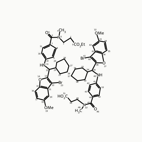 CCOC(=O)CCN(C)C(=O)c1ccc(NC(c2oc3ccc(OC)cc3c2Br)C2CCCCC2)cc1.COc1ccc2oc(C(Nc3ccc(C(=O)N(C)CCC(=O)O)cc3)C3CCCCC3)c(Br)c2c1